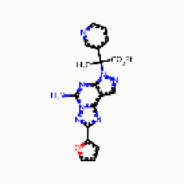 CCOC(=O)C(C)(c1cccnc1)n1ncc2c1nc(N)n1nc(-c3ccco3)nc21